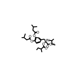 CCC(C)N[C@@](Cc1ccc(OC(=O)CC(C)C)c(OC(=O)CC(C)C)c1)(OC(=O)C(C)CC)C(=O)O